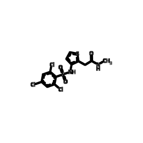 CNC(=O)Cc1sccc1NS(=O)(=O)c1c(Cl)cc(Cl)cc1Cl